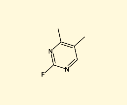 Cc1cnc(F)nc1C